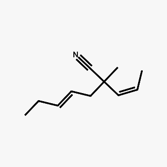 C/C=C\C(C)(C#N)C/C=C/CC